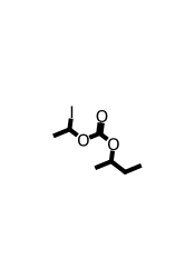 CCC(C)OC(=O)OC(C)I